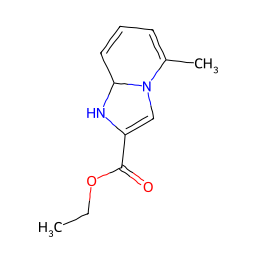 CCOC(=O)C1=CN2C(C)=CC=CC2N1